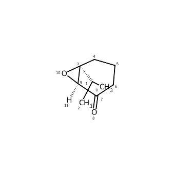 CC(C)[C@]12CCCC(=O)[C@H]1O2